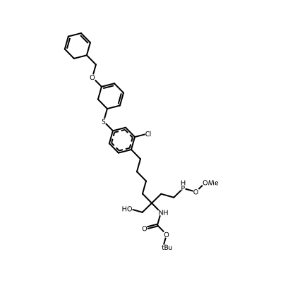 COOPCCC(CO)(CCCCc1ccc(SC2C=CC=C(OCC3C=CC=CC3)C2)cc1Cl)NC(=O)OC(C)(C)C